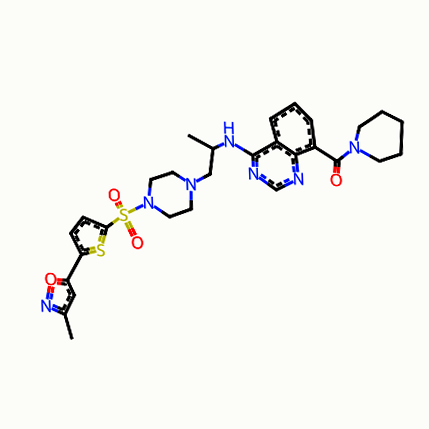 Cc1cc(-c2ccc(S(=O)(=O)N3CCN(CC(C)Nc4ncnc5c(C(=O)N6CCCCC6)cccc45)CC3)s2)on1